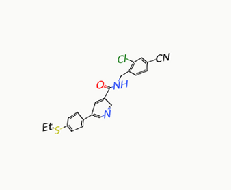 CCSc1ccc(-c2cncc(C(=O)NCc3ccc(C#N)cc3Cl)c2)cc1